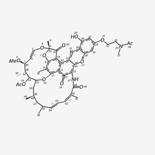 CO[C@H]1/C=C/O[C@@]2(C)Oc3c(C)c4c5c(=O)c(c6oc7cc(OCCN(C)C(C)=O)cc(O)c7nc-6c5c3C2=O)NC(=O)/C(C)=C\C=C\C(C)C[C@@H](C)CC(O4)C(OC(C)=O)[C@@H]1C